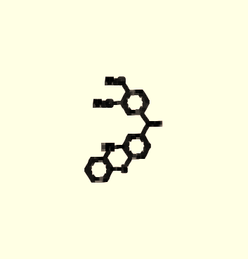 C=C(c1ccc2c(c1)Nc1ccccc1S2)c1ccc(OC)c(OC)c1